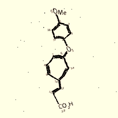 COc1ccc(Oc2cccc(C=CC(=O)O)c2)cc1